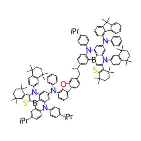 CC(C)c1ccc(N2c3ccc(C(C)Cc4ccc5c(c4)oc4c(N(c6ccccc6)c6cc7c8c(c6)N(c6ccc9c(c6)C(C)(C)CCC9(C)C)c6c(sc9c6C(C)(C)CCC9(C)C)B8c6cc(C(C)C)ccc6N7c6ccc(C(C)C)cc6)cccc45)cc3B3c4sc5c(c4N(c4ccc6c(c4)C(C)(C)CCC6(C)C)c4cc(N(c6ccccc6)c6cccc7c6-c6ccccc6C7(C)C)cc2c43)C(C)(C)CCC5(C)C)cc1